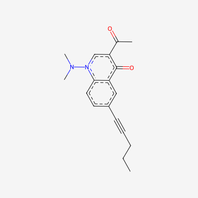 CCCC#Cc1ccc2c(c1)c(=O)c(C(C)=O)cn2N(C)C